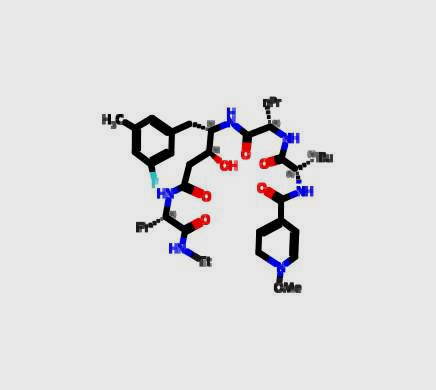 CCC[C@H](NC(=O)[C@@H](NC(=O)C1=CCN(OC)C=C1)[C@@H](C)CC)C(=O)N[C@@H](Cc1cc(C)cc(F)c1)[C@@H](O)CC(=O)N[C@H](C(=O)NCC)C(C)C